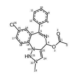 CC(=O)OC1N=C(c2ccccc2)c2cc(Cl)ccc2N2NN(C)C=C12